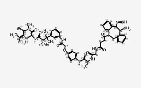 CN[C@H](C(=O)NC(C(=O)N(C)C(/C=C(\C)C(=O)O)C(C)C)C(C)(C)C)C(C)(C)c1cccc(NC(=O)COc2ccc(NC(=O)[C@H](C)NC(=O)CNC(=O)CCC(=O)N3Cc4ccccc4C(N)C(N=N)c4ccccc43)cc2)c1